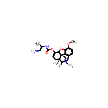 COc1ccc2c3c1OC1C(OC(=O)NC(C)CN)=CC[C@@]4(C)[C@@H](C2)N(C)CC[C@]314